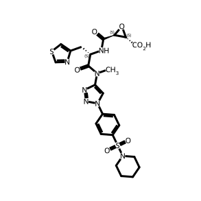 CN(C(=O)[C@H](Cc1cscn1)NC(=O)[C@H]1O[C@@H]1C(=O)O)c1cn(-c2ccc(S(=O)(=O)N3CCCCC3)cc2)nn1